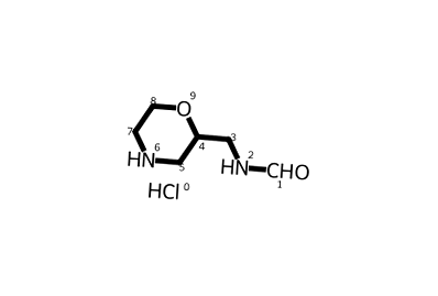 Cl.O=CNCC1CNCCO1